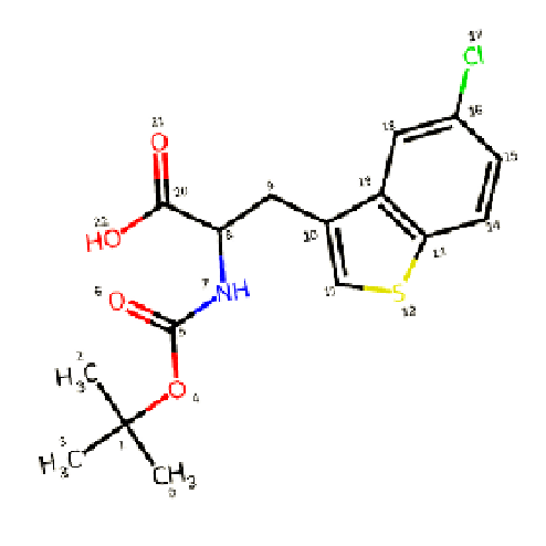 CC(C)(C)OC(=O)NC(Cc1csc2ccc(Cl)cc12)C(=O)O